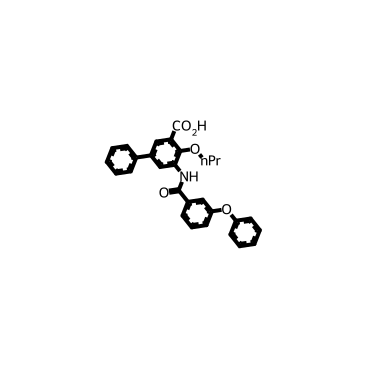 CCCOc1c(NC(=O)c2cccc(Oc3ccccc3)c2)cc(-c2ccccc2)cc1C(=O)O